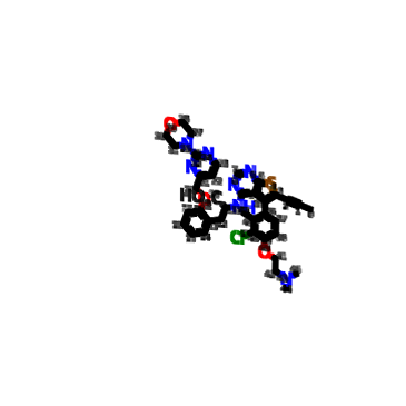 CC#Cc1sc2ncnc(NC(Cc3ccccc3OCc3ccnc(N4CCOCC4)n3)C(=O)O)c2c1-c1ccc(OCCN(C)C)c(Cl)c1C